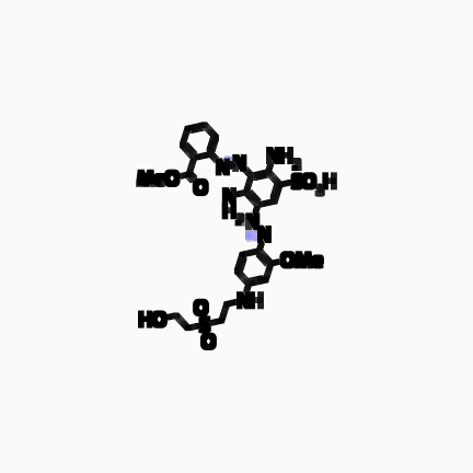 COC(=O)c1ccccc1/N=N/c1c(N)c(/N=N/c2ccc(NCCS(=O)(=O)CCO)cc2OC)cc(S(=O)(=O)O)c1N